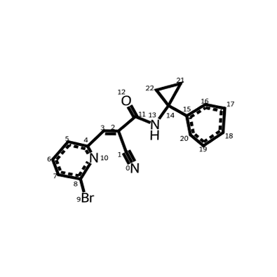 N#C/C(=C\c1cccc(Br)n1)C(=O)NC1(c2ccccc2)CC1